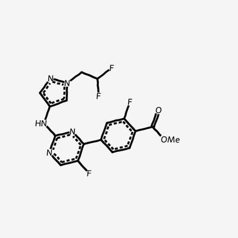 COC(=O)c1ccc(-c2nc(Nc3cnn(CC(F)F)c3)ncc2F)cc1F